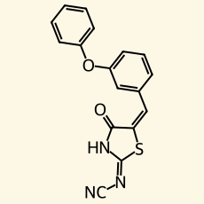 N#C/N=C1\NC(=O)/C(=C\c2cccc(Oc3ccccc3)c2)S1